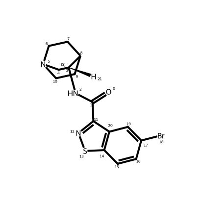 O=C(N[C@@H]1CN2CCC1CC2)c1nsc2ccc(Br)cc12